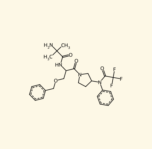 CC(C)(N)C(=O)NC(COCc1ccccc1)C(=O)N1CCC(N(C(=O)C(F)(F)F)c2ccccc2)C1